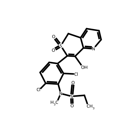 CCS(=O)(=O)N(C)c1c(Cl)ccc(C2=C(O)c3ncccc3CS2(=O)=O)c1Cl